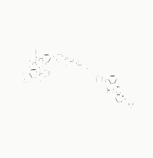 COc1ccc(NC(=O)c2cccc(NCCOCCOCCNC(=O)CN3CCN(c4ccc(Nc5ncc6c(C)c(C(C)=O)c(=O)n(C7CCCC7)c6n5)nc4)CC3)c2C)nn1